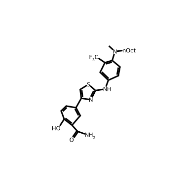 CCCCCCCCN(C)c1ccc(Nc2nc(-c3ccc(O)c(C(N)=O)c3)cs2)cc1C(F)(F)F